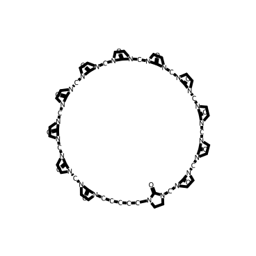 O=C1N2CCCCCN3CCN(CN4CCN(CN5CCN(CN6CCN(CN7CCN(CN8CCN(CN9CCN(CN%10CCN(CN%11CCN(CN%12CCN(CN%13CCN(CN1CC2)C%13=O)C%12=O)C%11=O)C%10=O)C9=O)C8=O)C7=O)C6=O)C5=O)C4=O)C3=O